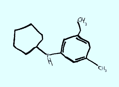 Cc1cc(C)cc(PC2CCCCC2)c1